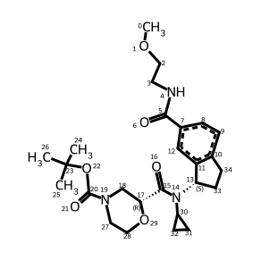 COCCNC(=O)c1ccc2c(c1)[C@@H](N(C(=O)[C@H]1CN(C(=O)OC(C)(C)C)CCO1)C1CC1)CC2